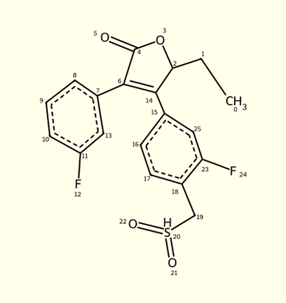 CCC1OC(=O)C(c2cccc(F)c2)=C1c1ccc(C[SH](=O)=O)c(F)c1